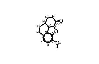 COc1ccc2c3c1OC1C(=O)CCC(CC2)C31